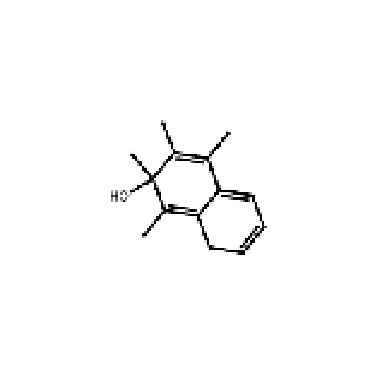 CC1=C(C)C(C)(O)C(C)=C2CC=CC=C12